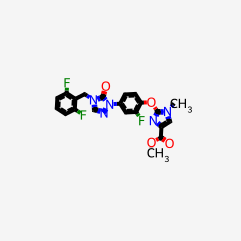 COC(=O)c1cn(C)c(Oc2ccc(-n3ncn(Cc4c(F)cccc4F)c3=O)cc2F)n1